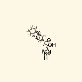 O=C(C=C(O)c1nc[nH]n1)c1coc(Oc2ccccc2)c1